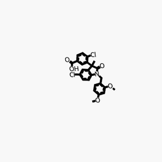 COc1ccc(CN2C(=O)C(C)(c3cc(C(=O)O)ccc3Cl)c3cc(Cl)ccc32)c(OC)c1